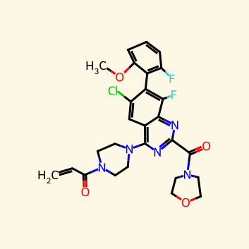 C=CC(=O)N1CCN(c2nc(C(=O)N3CCOCC3)nc3c(F)c(-c4c(F)cccc4OC)c(Cl)cc23)CC1